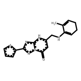 CC1=CCCC=C1NCc1cc(=O)n2nc(-c3cccs3)nc2[nH]1